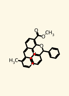 COC(=O)c1ccc2cc3c(C)ccnc3nc2c1OC(c1ccccc1)c1ccccc1